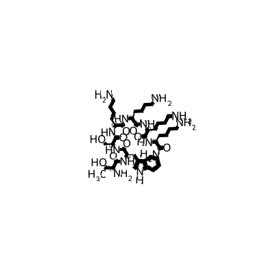 C[C@@H](O)[C@H](N)C(=O)N[C@@H](Cc1c[nH]c2ccccc12)C(=O)N[C@@H](CO)C(=O)N[C@@H](CCCCN)C(=O)N[C@@H](CCCCN)C(=O)N[C@@H](CCCCN)C(=O)N[C@@H](CCCCN)C(N)=O